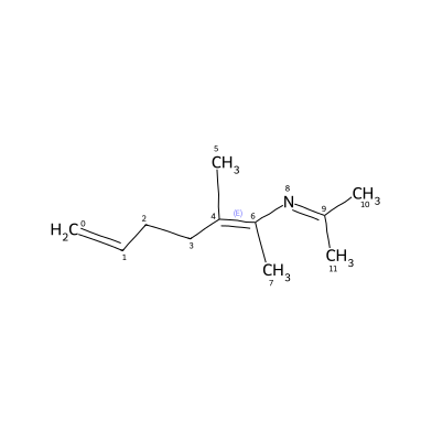 C=CCC/C(C)=C(\C)N=C(C)C